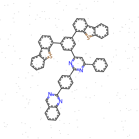 c1ccc(-c2cc(-c3cc(-c4cccc5c4sc4ccccc45)cc(-c4cccc5c4sc4ccccc45)c3)nc(-c3ccc(-c4ncc5ccccc5n4)cc3)n2)cc1